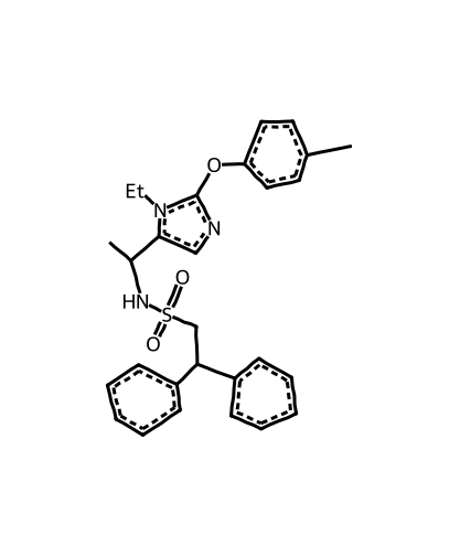 CCn1c(C(C)NS(=O)(=O)CC(c2ccccc2)c2ccccc2)cnc1Oc1ccc(C)cc1